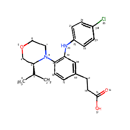 CC(C)[C@H]1COCCN1c1ccc(CCC(=O)O)cc1Nc1ccc(Cl)cc1